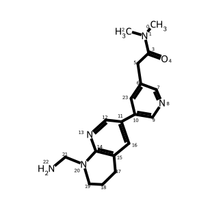 CN(C)C(=O)Cc1cncc(-c2cnc3c(c2)CCCN3CN)c1